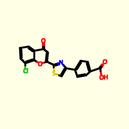 O=C(O)c1ccc(-c2csc(-c3cc(=O)c4cccc(Cl)c4o3)n2)cc1